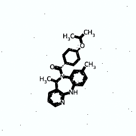 Cc1ccc2c(c1)N(C(=O)[C@H]1CC[C@H](OC(C)C)CC1)C(C)c1cccnc1N2